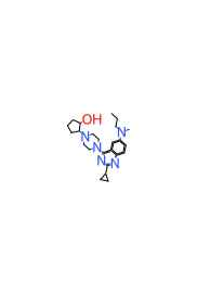 CCCN(C)c1ccc2nc(C3CC3)nc(N3CCN(C4CCCC4O)CC3)c2c1